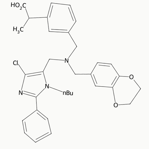 CCCCn1c(-c2ccccc2)nc(Cl)c1CN(Cc1cccc(C(C)C(=O)O)c1)Cc1ccc2c(c1)OCCO2